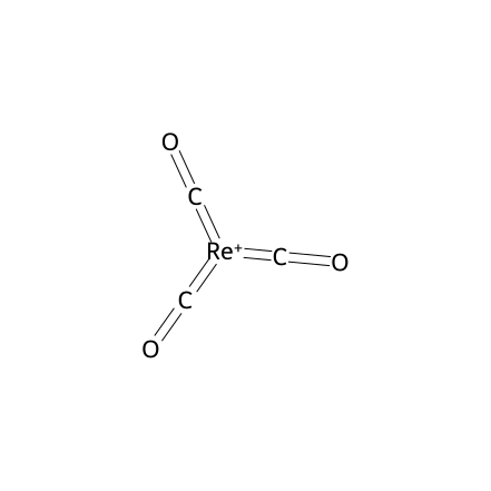 O=[C]=[Re+](=[C]=O)=[C]=O